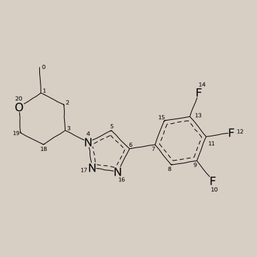 CC1CC(n2cc(-c3cc(F)c(F)c(F)c3)nn2)CCO1